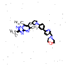 Cc1nc2nc(C)c(C[C@@H]3CCN(c4ccc(-c5ccc(CN6CCOCC6)cn5)cc4)C3)c(C)n2n1